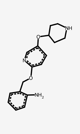 Nc1ccccc1COc1ccc(OC2CCNCC2)cn1